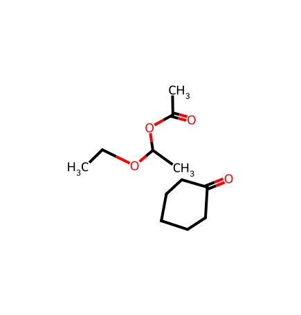 CCOC(C)OC(C)=O.O=C1CCCCC1